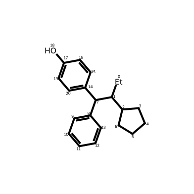 CCC(C1CCCC1)C(c1ccccc1)c1ccc(O)cc1